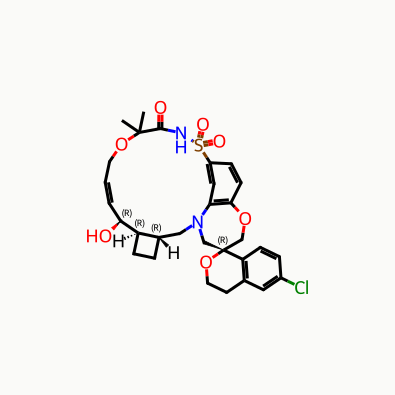 CC1(C)OCC=C[C@H](O)[C@@H]2CC[C@H]2CN2C[C@]3(COc4ccc(cc42)S(=O)(=O)NC1=O)OCCc1cc(Cl)ccc13